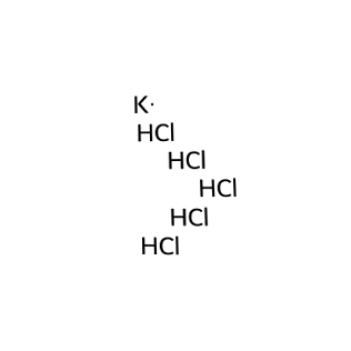 Cl.Cl.Cl.Cl.Cl.[K]